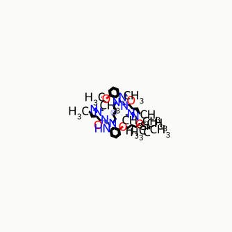 CCn1nc(C)cc1C(=O)/N=c1\[nH]c2cccc(OCCCO[Si](C)(C)C(C)(C)C)c2n1C/C=C/Cn1/c(=N/C(=O)c2cc(C)nn2CC)n(C)c2cccc(OC)c21